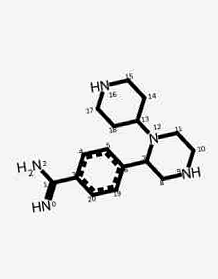 N=C(N)c1ccc(C2CNCCN2C2CCNCC2)cc1